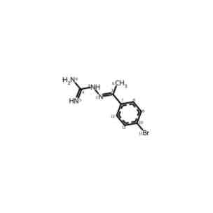 CC(=NNC(=N)N)c1ccc(Br)cc1